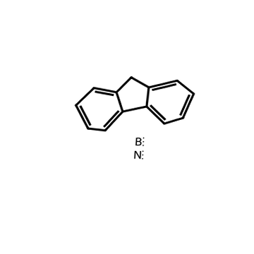 [B].[N].c1ccc2c(c1)Cc1ccccc1-2